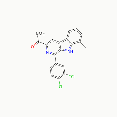 CNC(=O)c1cc2c([nH]c3c(C)cccc32)c(-c2ccc(Cl)c(Cl)c2)n1